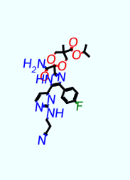 CC(C)OC(=O)C1(C)COC(C(N)=O)(c2nc(-c3ccc(F)cc3)c(-c3ccnc(NCCC#N)n3)[nH]2)OC1